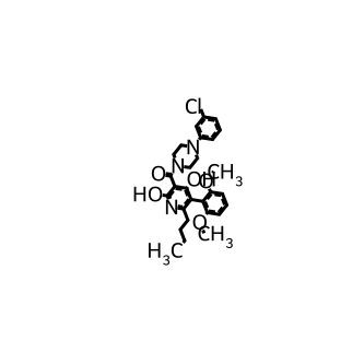 CCCCc1nc(O)c(C(=O)N2CCN(c3cccc(Cl)c3)CC2)c(O)c1-c1c(OC)cccc1OC